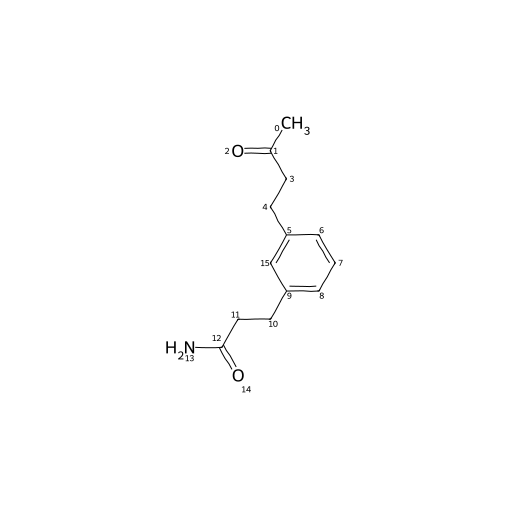 CC(=O)CCc1cccc(CCC(N)=O)c1